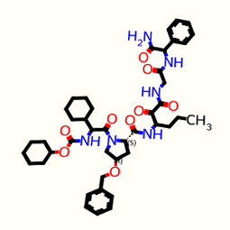 CCCC(NC(=O)[C@@H]1C[C@@H](OCc2ccccc2)CN1C(=O)C(NC(=O)OC1CCCCC1)C1CCCCC1)C(=O)C(=O)NCC(=O)NC(C(N)=O)c1ccccc1